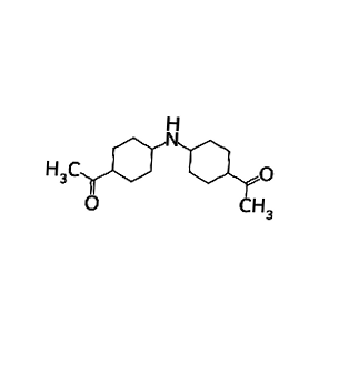 CC(=O)C1CCC(NC2CCC(C(C)=O)CC2)CC1